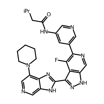 CC(C)CC(=O)Nc1cncc(-c2ncc3[nH]nc(-c4nc5c(N6CCCCC6)cncc5[nH]4)c3c2F)c1